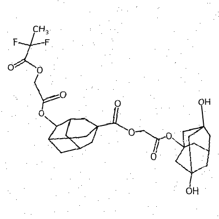 CC(F)(F)C(=O)OCC(=O)OC1C2CC3CC1CC(C(=O)OCC(=O)OC14CC5CC(O)(CC(O)(C5)C1)C4)(C3)C2